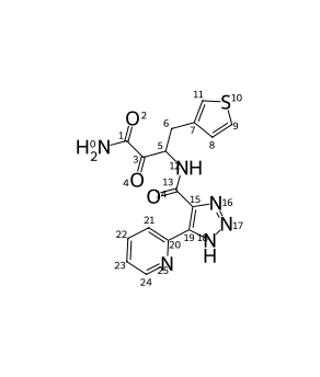 NC(=O)C(=O)C(Cc1ccsc1)NC(=O)c1nn[nH]c1-c1ccccn1